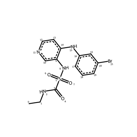 CCNC(=O)S(=O)(=O)Nc1cnccc1Nc1cccc(Br)c1